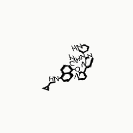 Cc1ccc2c(NCCC3CC3)cccc2c1Oc1ncccc1-c1ccnc(NC2CCCNC2)n1